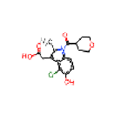 Cc1c(CC(=O)O)c2c(Cl)c(O)ccc2n1C(=O)C1CCOCC1